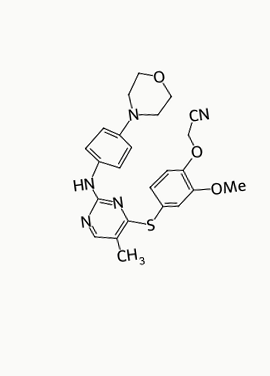 COc1cc(Sc2nc(Nc3ccc(N4CCOCC4)cc3)ncc2C)ccc1OCC#N